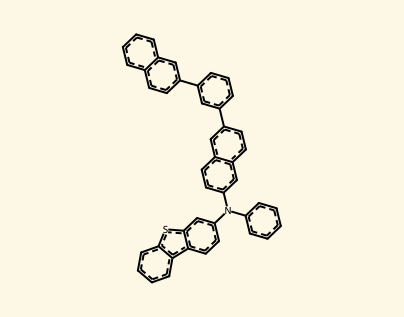 c1ccc(N(c2ccc3cc(-c4cccc(-c5ccc6ccccc6c5)c4)ccc3c2)c2ccc3c(c2)sc2ccccc23)cc1